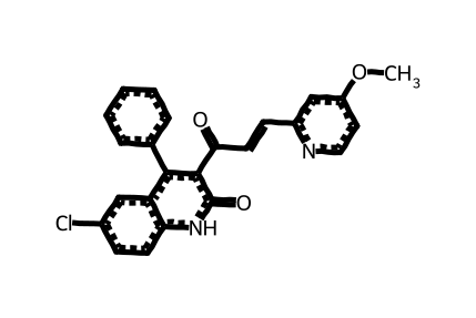 COc1ccnc(/C=C/C(=O)c2c(-c3ccccc3)c3cc(Cl)ccc3[nH]c2=O)c1